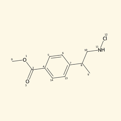 COC(=O)c1ccc(C(C)CNCl)cc1